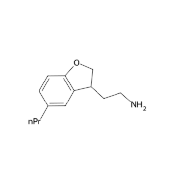 CCCc1ccc2c(c1)C(CCN)CO2